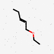 [CH2]COCC=CCC